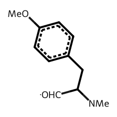 CNC([C]=O)Cc1ccc(OC)cc1